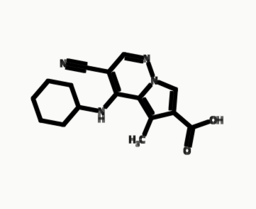 Cc1c(C(=O)O)cn2ncc(C#N)c(NC3CCCCC3)c12